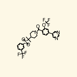 CC(C)(C1CCN(C(=O)c2ccc(-c3cncnc3)cc2OC(F)(F)F)CC1)S(=O)(=O)c1cccc(C(F)(F)F)c1